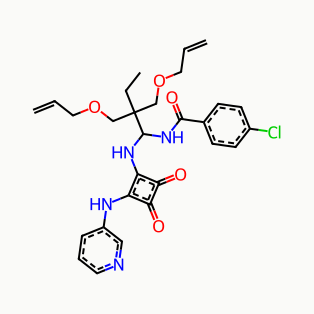 C=CCOCC(CC)(COCC=C)C(NC(=O)c1ccc(Cl)cc1)Nc1c(Nc2cccnc2)c(=O)c1=O